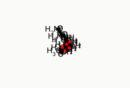 C[C@H](N)C(=O)O.C[C@H](N)C(=O)O.C[C@H](N)C(=O)O.C[C@H](N)C(=O)O.NC(=O)CC[C@H](N)C(=O)O